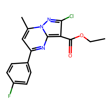 CCOC(=O)c1c(Cl)nn2c(C)cc(-c3ccc(F)cc3)nc12